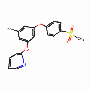 CC(=O)c1cc(Oc2ccc(S(C)(=O)=O)cc2)cc(Oc2ccccn2)c1